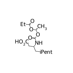 CCCC(C)CC(CC(=O)O)NC(=O)O[C@H](C)OC(=O)CC